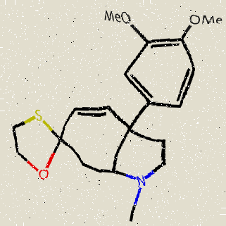 COc1ccc(C23C=CC4(CC2N(C)CC3)OCCS4)cc1OC